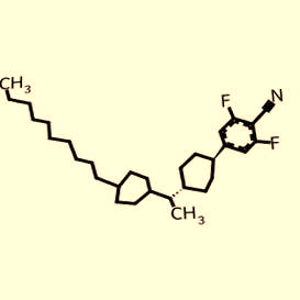 CCCCCCCCCCC1CCC(C(C)[C@H]2CC[C@H](c3cc(F)c(C#N)c(F)c3)CC2)CC1